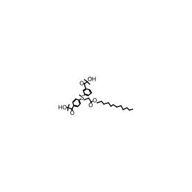 CCCCCCCCCCCCOC(=O)CCS(C)(c1ccc(C(=O)C(C)(C)O)cc1)c1cccc(C(=O)C(C)(C)O)c1